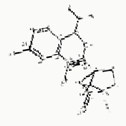 CC(C)C(OC(=O)[C@@]12CC[C@@](C)(C(=O)O1)C2(C)C)c1ccc(I)cc1[N+](=O)[O-]